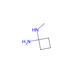 CNC1(N)CCC1